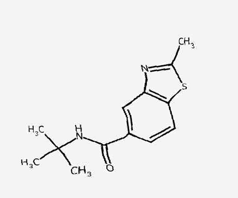 Cc1nc2cc(C(=O)NC(C)(C)C)ccc2s1